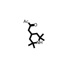 CC(=O)C(=O)CC1CC(C)(C)NC(C)(C)C1